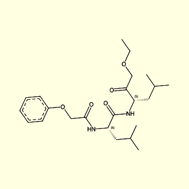 CCOCC(=O)[C@H](CC(C)C)NC(=O)[C@H](CC(C)C)NC(=O)COc1ccccc1